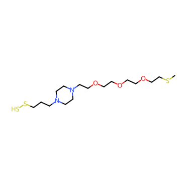 CSCCOCCOCCOCCN1CCN(CCCSS)CC1